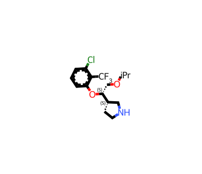 CC(C)OC[C@@H](Oc1cccc(Cl)c1C(F)(F)F)[C@H]1CCNC1